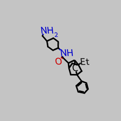 CCC12CC3CC(c4ccccc4)(CC1C3C(=O)NC1CCC(CN)CC1)C2